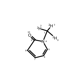 [2H]C([2H])([2H])n1ccccc1=O